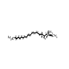 CC#C[Si](C)(C)CCCCCCCCCCCCCCCCCC